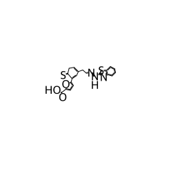 O=C(O)c1ccc(C2=CC(CC=NNc3nc4ccccc4s3)=CCC2=S)o1